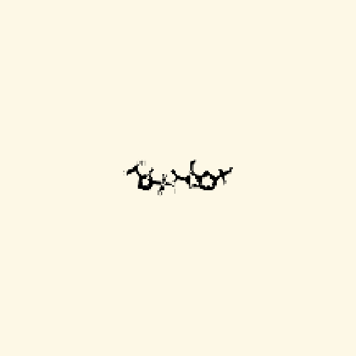 CCn1c(C(C)NS(=O)(=O)c2ccc(C(=O)O)n2C)nc2ccc(C(F)(F)F)cc21